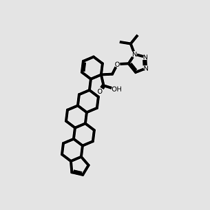 CC(C)n1nncc1OCC1(C(=O)O)CCC=CC1C1CCC2C(CCC3C2CCC2C4CC=CC4CCC23)C1